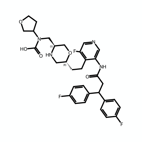 O=C(CC(c1ccc(F)cc1)c1ccc(F)cc1)Nc1cncc(F)c1CC[C@@H]1CN[C@@H](CN(C(=O)O)C2CCOC2)CO1